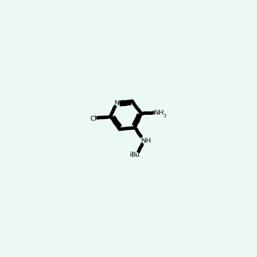 CCC(C)Nc1cc(Cl)ncc1N